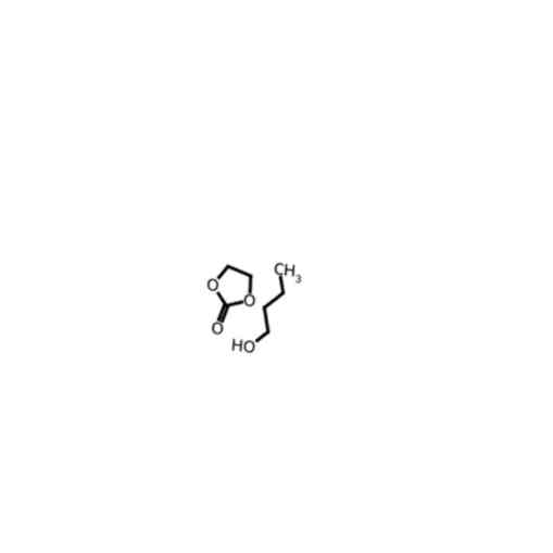 CCCCO.O=C1OCCO1